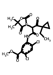 CCC1(C(=O)C(C(=O)Nc2cc(C(=O)OC)c(Cl)cc2Cl)N2C(=O)OC(C)(C)C2=O)CC1